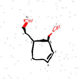 OCC1CC=CC1O